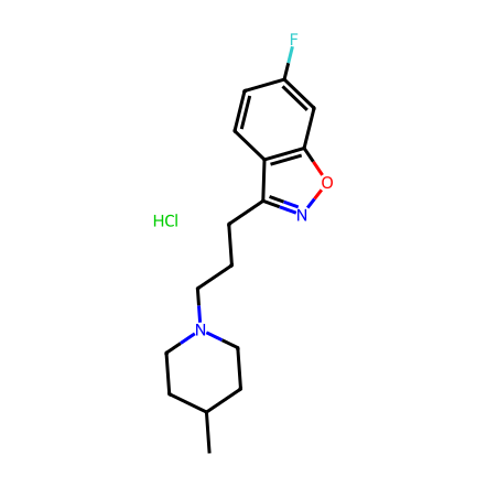 CC1CCN(CCCc2noc3cc(F)ccc23)CC1.Cl